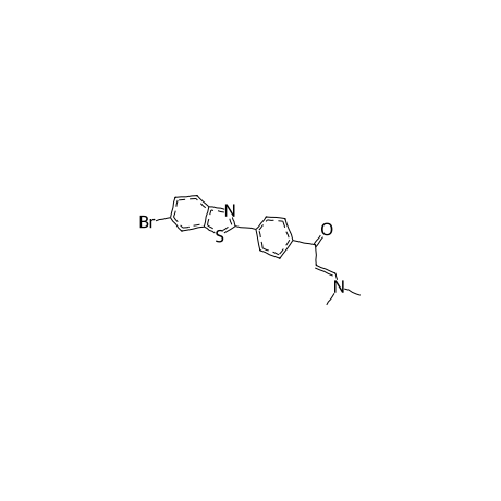 CN(C)C=CC(=O)c1ccc(-c2nc3ccc(Br)cc3s2)cc1